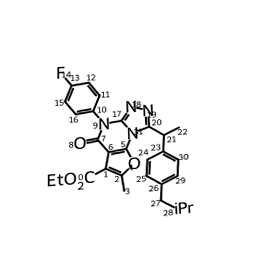 CCOC(=O)c1c(C)oc2c1c(=O)n(-c1ccc(F)cc1)c1nnc(C(C)c3ccc(CC(C)C)cc3)n21